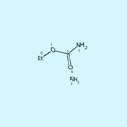 CCOC(N)=O.[AlH3]